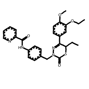 CCOc1cc(C2=NN(Cc3ccc(NC(=O)c4ccccn4)cc3)C(=O)SC2CC)ccc1OC